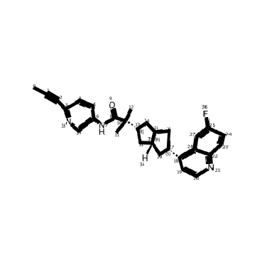 CC#Cc1ccc(NC(=O)C(C)(C)[C@@H]2CC3C[C@H](c4ccnc5ccc(F)cc45)C[C@@H]3C2)cn1